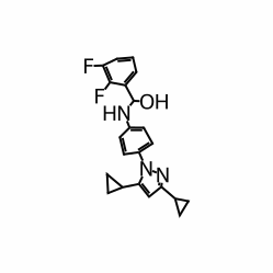 OC(Nc1ccc(-n2nc(C3CC3)cc2C2CC2)cc1)c1cccc(F)c1F